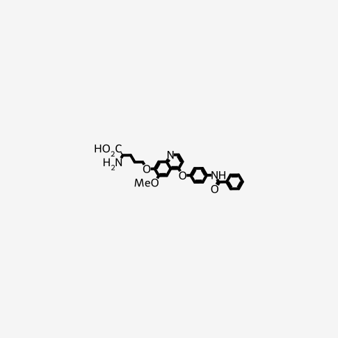 COc1cc2c(Oc3ccc(NC(=O)c4ccccc4)cc3)ccnc2cc1OCCC[C@H](N)C(=O)O